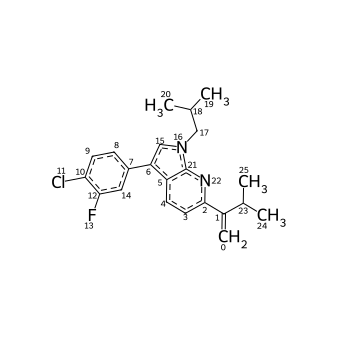 C=C(c1ccc2c(-c3ccc(Cl)c(F)c3)cn(CC(C)C)c2n1)C(C)C